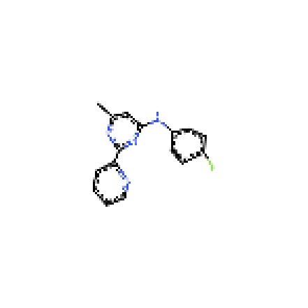 Cc1cc(Nc2ccc(F)cc2)nc(-c2ccccn2)n1